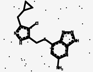 Nc1cc(SCc2[nH]nc(CC3CC3)c2Cl)c2nn[nH]c2n1